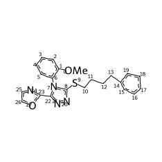 COc1ccccc1-n1c(SCCCCc2ccccc2)nnc1-c1ncco1